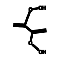 C=C(OO)C(=C)OO